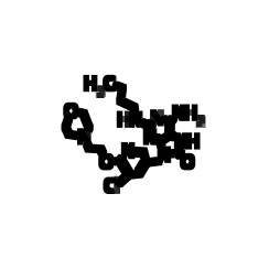 CCCCNc1nc(N)c2[nH]c(=O)n(Cc3cnc(OCCN4CCOCC4)c(Cl)c3)c2n1